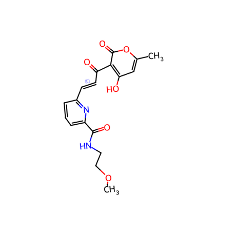 COCCNC(=O)c1cccc(/C=C/C(=O)c2c(O)cc(C)oc2=O)n1